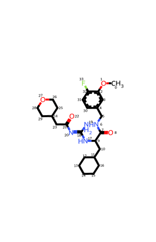 COc1cc(CNC(=O)C(CC2CCCCC2)NC(N)=NC(=O)CC2CCOCC2)ccc1F